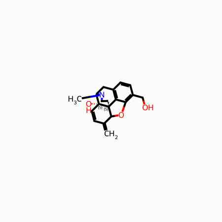 C=C1C=C[C@@]2(O)C3Cc4ccc(CO)c5c4[C@@]2(CCN3C)C1O5